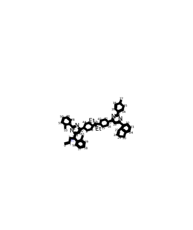 C=C/C=C(/c1cc(C2CCC(C(CC)(CC)C3CCC(c4cc(-c5cccc6c5C=CCC6)nc(C5=CCC(C)C=C5)n4)CC3)CC2)nc(C2C=CC=CC2C)n1)c1ccccc1C